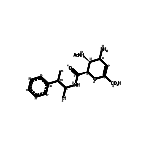 CCC(NC(=O)[C@@H]1OC(C(=O)O)=CC(N)[C@H]1NC(C)=O)C(C)c1ccccc1